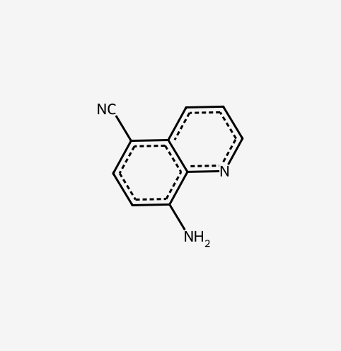 N#Cc1ccc(N)c2ncccc12